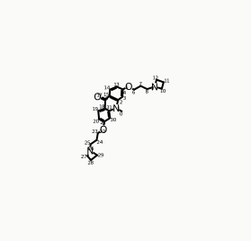 Cn1c2cc(OCCCN3CCC3)ccc2c(=O)c2ccc(OCCCN3CCC3)cc21